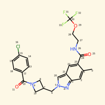 Cc1cc2nn(CC3CN(C(=O)c4ccc(Cl)cc4)C3)cc2cc1C(=O)NCCOC(F)(F)F